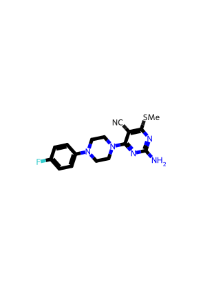 CSc1nc(N)nc(N2CCN(c3ccc(F)cc3)CC2)c1C#N